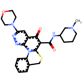 CN1CCCC(NC(=O)c2c3n(c4nnc(N5CCOCC5)cc4c2=O)-c2ccccc2CS3)C1